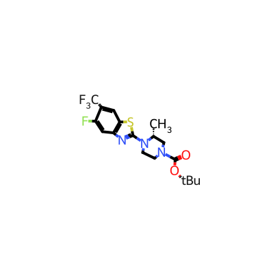 C[C@@H]1CN(C(=O)OC(C)(C)C)CCN1c1nc2cc(F)c(C(F)(F)F)cc2s1